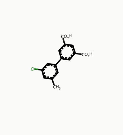 Cc1cc(Cl)cc(-c2cc(C(=O)O)cc(C(=O)O)c2)c1